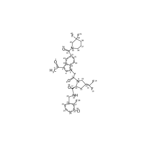 CC(=O)c1cn(CC(=O)N2CC(=C(F)F)C[C@H]2C(=O)NCc2cccc(Cl)c2F)c2ccc(C(=O)N3CCCC(F)(F)C3)cc12